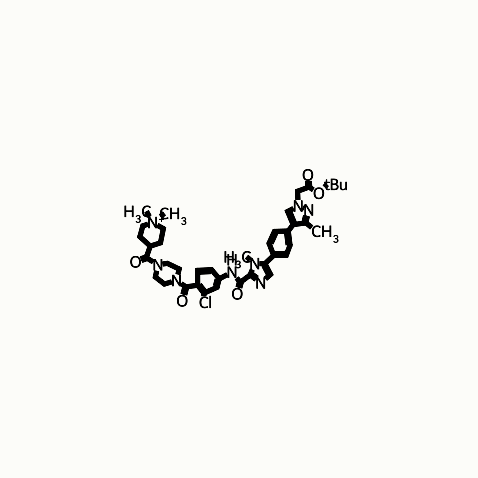 Cc1nn(CC(=O)OC(C)(C)C)cc1-c1ccc(-c2cnc(C(=O)Nc3ccc(C(=O)N4CCN(C(=O)C5CC[N+](C)(C)CC5)CC4)c(Cl)c3)n2C)cc1